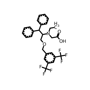 CCN(CC(=O)O)C(COCc1cc(C(F)(F)F)cc(C(F)(F)F)c1)C(c1ccccc1)c1ccccc1